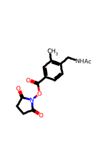 CC(=O)NCc1ccc(C(=O)ON2C(=O)CCC2=O)cc1C